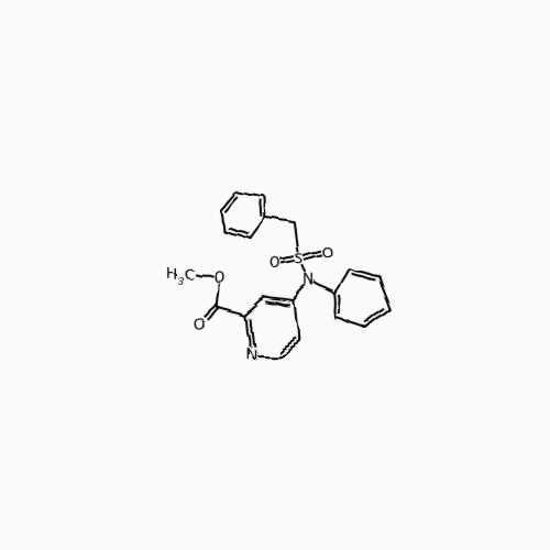 COC(=O)c1cc(N(c2ccccc2)S(=O)(=O)Cc2ccccc2)ccn1